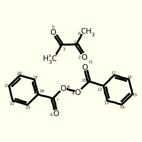 CC(=O)C(C)=O.O=C(OOC(=O)c1ccccc1)c1ccccc1